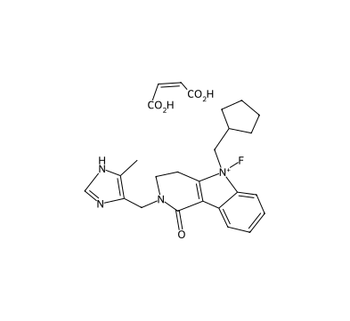 Cc1[nH]cnc1CN1CCC2=C(C1=O)c1ccccc1[N+]2(F)CC1CCCC1.O=C(O)/C=C\C(=O)O